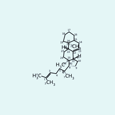 CC(C)=CCC[C@@H](C)[C@H]1CC[C@H]2C3=CCC4CCCC[C@]4(C)[C@H]3CC[C@]12C